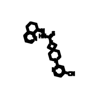 N#Cc1ccnc(N2CCC3(CC2)CN(C(=S)N/N=C2/CCCc4cccnc42)C3)c1